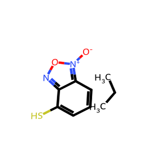 CCC.[O-][n+]1onc2c(S)cccc21